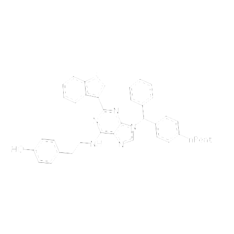 CCCCCc1ccc(C(c2ccccc2)n2cnc3c(NCCc4ccc(O)cc4)nc(-c4csc5ccccc45)nc32)cc1